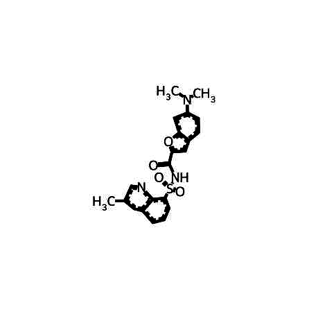 Cc1cnc2c(S(=O)(=O)NC(=O)c3cc4ccc(N(C)C)cc4o3)cccc2c1